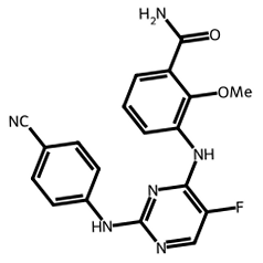 COc1c(Nc2nc(Nc3ccc(C#N)cc3)ncc2F)cccc1C(N)=O